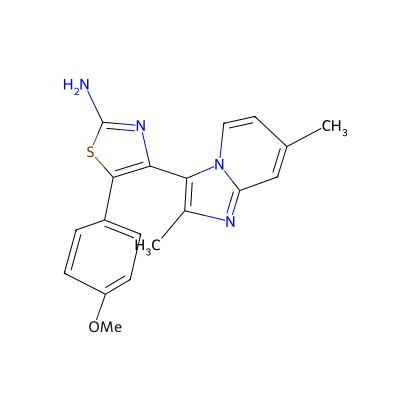 COc1ccc(-c2sc(N)nc2-c2c(C)nc3cc(C)ccn23)cc1